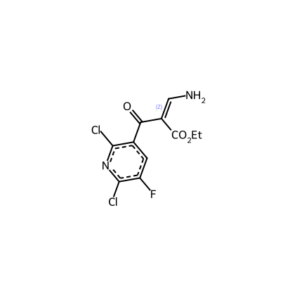 CCOC(=O)/C(=C\N)C(=O)c1cc(F)c(Cl)nc1Cl